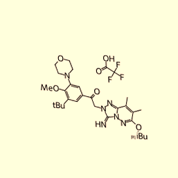 CC[C@@H](C)Oc1nn2c(=N)n(CC(=O)c3cc(N4CCOCC4)c(OC)c(C(C)(C)C)c3)nc2c(C)c1C.O=C(O)C(F)(F)F